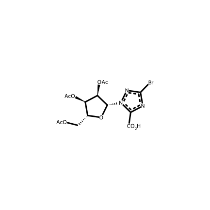 CC(=O)OC[C@H]1O[C@@H](n2nc(Br)nc2C(=O)O)[C@H](OC(C)=O)[C@@H]1OC(C)=O